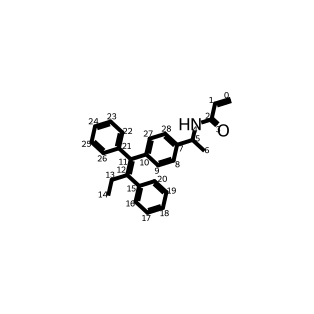 C=CC(=O)NC(C)c1ccc(C(=C(CC)c2ccccc2)c2ccccc2)cc1